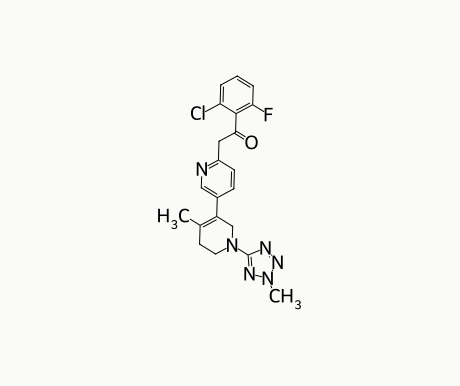 CC1=C(c2ccc(CC(=O)c3c(F)cccc3Cl)nc2)CN(c2nnn(C)n2)CC1